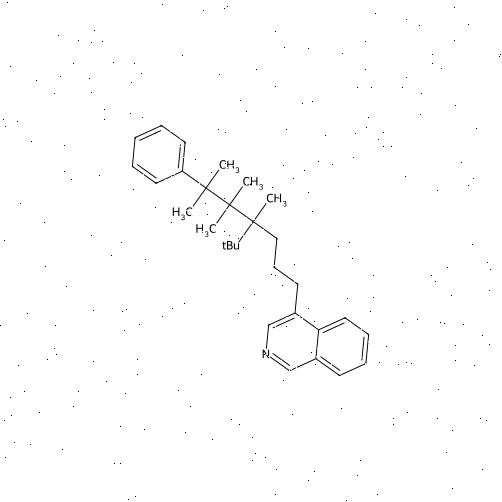 CC(C)(C)C(C)(CCCc1cncc2ccccc12)C(C)(C)C(C)(C)c1ccccc1